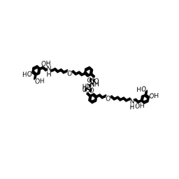 O=S(=O)(Cc1cccc(CCCCOCCCCCCNCC(O)c2ccc(O)c(CO)c2)c1)NNS(=O)(=O)Cc1cccc(CCCOCCCCCCCNCC(O)c2ccc(O)c(CO)c2)c1